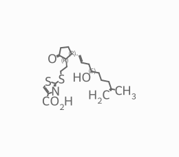 C=C(C)CCC[C@H](O)CC=C[C@H]1CCC(=O)[C@@H]1CCSc1nc(C(=O)O)cs1